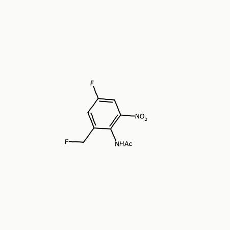 CC(=O)Nc1c(CF)cc(F)cc1[N+](=O)[O-]